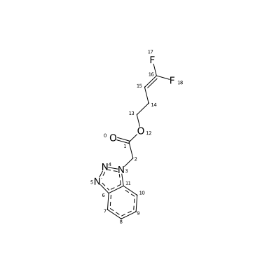 O=C(Cn1nnc2ccccc21)OCCC=C(F)F